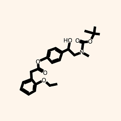 CCOc1ccccc1CC(=O)Oc1ccc(C(O)CN(C)C(=O)OC(C)(C)C)cc1